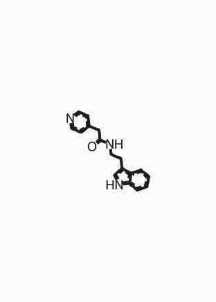 O=C(Cc1ccncc1)NCCc1c[nH]c2ccccc12